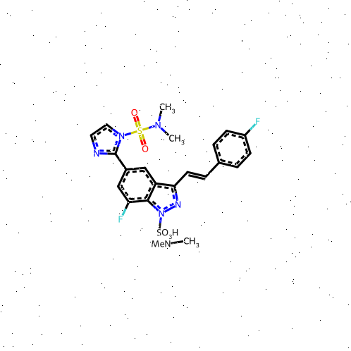 CN(C)S(=O)(=O)n1ccnc1-c1cc(F)c2c(c1)c(/C=C/c1ccc(F)cc1)nn2S(=O)(=O)O.CNC